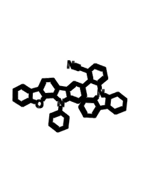 N#Cc1cccc(-n2c3c(c4ccccc42)C=CCC3)c1-c1ccc2c(c1)c1ccc3c4ccccc4oc3c1n2-c1ccccc1